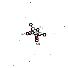 N#Cc1ccc(-c2ccc3c(c2)c2cc(-c4ccc(C#N)cc4)ccc2n3-c2c(-c3nc(-c4ccccc4)cc(-c4ccccc4)n3)cc(C(F)(F)F)cc2-c2nc(-c3ccccc3)cc(-c3ccccc3)n2)cc1